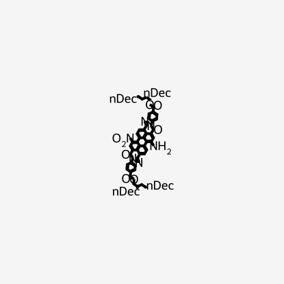 CCCCCCCCCCCCC(CCCCCCCCCC)COC(=O)c1ccc2c(c1)nc1c3ccc4c5c([N+](=O)[O-])cc6c(=O)n7c8ccc(C(=O)OCC(CCCCCCCCCC)CCCCCCCCCCCC)cc8nc7c7ccc(c8c(N)cc(c(=O)n21)c3c48)c5c67